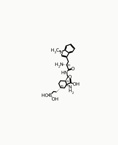 Cn1cc(C[C@@H](N)C(=O)NC[C@@H]2CC[C@@H](CCB(O)O)C[C@]2(N)C(=O)O)c2ccccc21